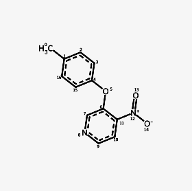 Cc1ccc(Oc2cnccc2[N+](=O)[O-])cc1